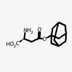 N[C@@H](CC(=O)OC12CC3CC(CC(C3)C1)C2)C(=O)O